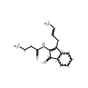 CC=CCC1=C(NC(=O)CCC)C(=O)c2ccccc21